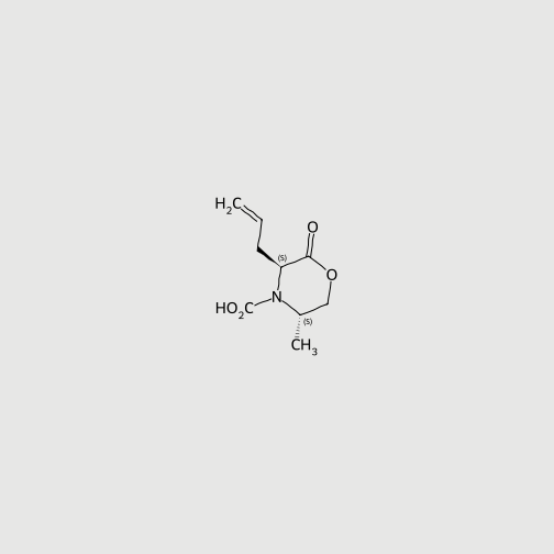 C=CC[C@H]1C(=O)OC[C@H](C)N1C(=O)O